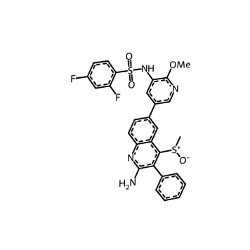 COc1ncc(-c2ccc3nc(N)c(-c4ccccc4)c([S+](C)[O-])c3c2)cc1NS(=O)(=O)c1ccc(F)cc1F